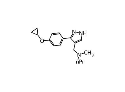 CCCN(C)Cc1c[nH]nc1-c1ccc(OC2CC2)cc1